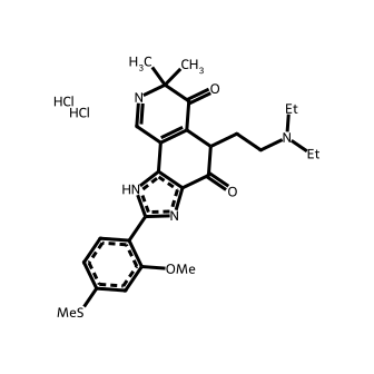 CCN(CC)CCC1C(=O)c2nc(-c3ccc(SC)cc3OC)[nH]c2C2=C1C(=O)C(C)(C)N=C2.Cl.Cl